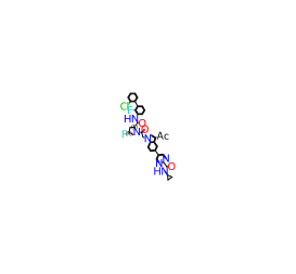 CC(=O)c1cn(CC(=O)N2C[C@H](F)C[C@H]2C(=O)Nc2cccc(-c3ccccc3Cl)c2F)c2ccc(-c3cnc(C(=O)NC4CC4)nc3)cc12